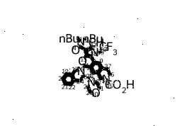 CCCCN(CCCC)C(=O)c1cc(-c2cc3c(cc2C(=O)N2Cc4ccccc4C[C@H]2CN2CCOCC2)CN(C(=O)O)CC3)n(CC(F)(F)F)c1C